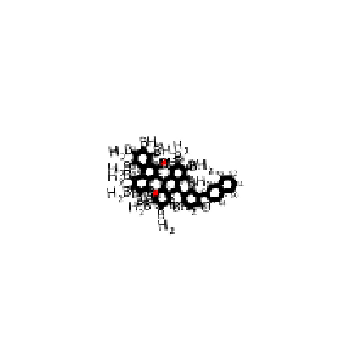 Bc1c(B)c(B)c2c(-c3c(B)c4c(B)c(B)c(B)c(B)c4c4c(B)c(B)c(B)c(B)c34)c3c(B)c(B)c(B)c(B)c3c(-c3ccc4oc5cc6ccccc6cc5c4c3)c2c1B